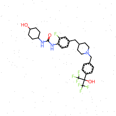 O=C(Nc1ccc(CC2CCN(Cc3ccc(C(O)(C(F)(F)F)C(F)(F)F)cc3)CC2)cc1F)NC1CCC(O)CC1